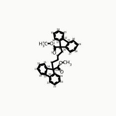 COC(=O)C1(CCCCC2(C(=O)OC)c3ccccc3-c3ccccc32)c2ccccc2-c2ccccc21